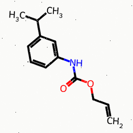 C=CCOC(=O)Nc1c[c]cc(C(C)C)c1